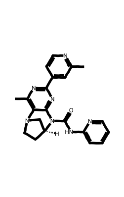 Cc1cc(-c2nc(C)c3c(n2)N(C(=O)Nc2ccccn2)[C@H]2CCN3C2)ccn1